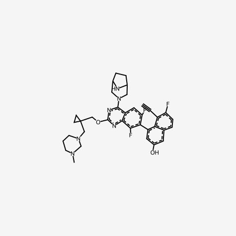 C#Cc1c(F)ccc2cc(O)cc(-c3c(F)cc4c(N5CC6CCC(C5)N6)nc(OCC5(CN6CCCN(C)C6)CC5)nc4c3F)c12